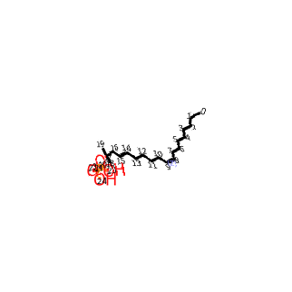 CCCCCCCC/C=C\CCCCCCCC(C)(C)OP(=O)(O)O